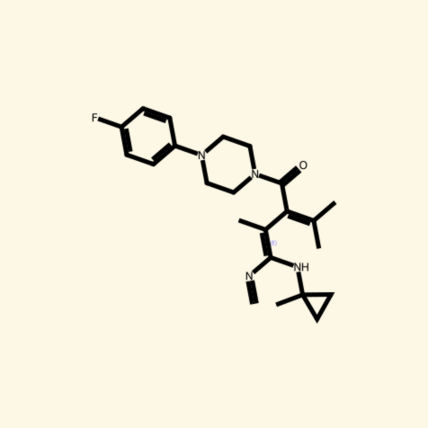 C=N/C(NC1(C)CC1)=C(\C)C(C(=O)N1CCN(c2ccc(F)cc2)CC1)=C(C)C